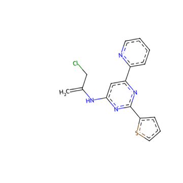 C=C(CCl)Nc1cc(-c2ccccn2)nc(-c2cccs2)n1